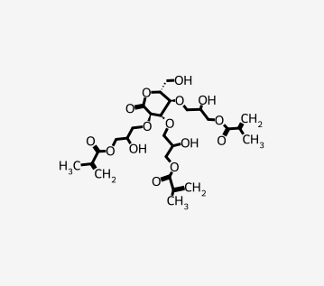 C=C(C)C(=O)OCC(O)CO[C@H]1[C@H](OCC(O)COC(=O)C(=C)C)[C@@H](OCC(O)COC(=O)C(=C)C)C(=O)O[C@@H]1CO